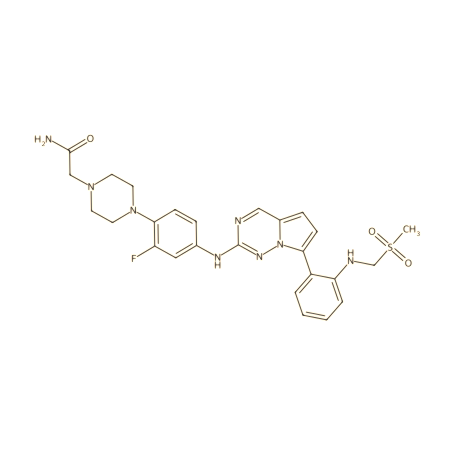 CS(=O)(=O)CNc1ccccc1-c1ccc2cnc(Nc3ccc(N4CCN(CC(N)=O)CC4)c(F)c3)nn12